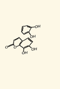 O=c1ccc2ccc(O)c(O)c2o1.Oc1ccccc1O